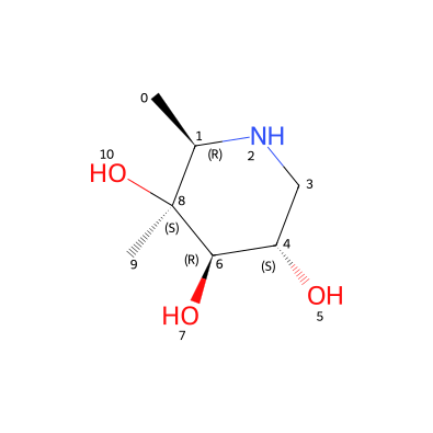 C[C@H]1NC[C@H](O)[C@@H](O)[C@@]1(C)O